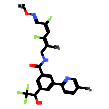 CO/N=C/C(F)=C\C(F)=C(/C)CNC(=O)c1cc(-c2ccc(C)cn2)cc(C(O)C(F)(F)F)c1